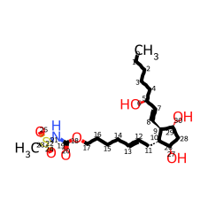 CCCCC[C@H](O)C=C[C@@H]1[C@@H](CC=CCCCCOC(=O)NS(C)(=O)=O)[C@@H](O)C[C@H]1O